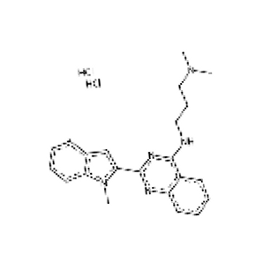 CN(C)CCCNc1nc(-c2cc3ccccc3n2C)nc2ccccc12.Cl.Cl